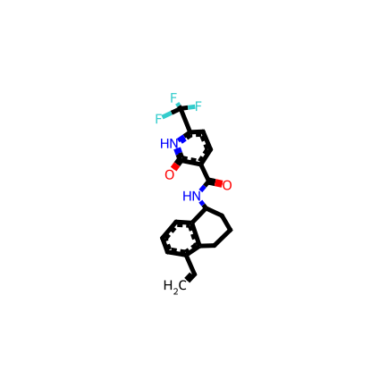 C=Cc1cccc2c1CCCC2NC(=O)c1ccc(C(F)(F)F)[nH]c1=O